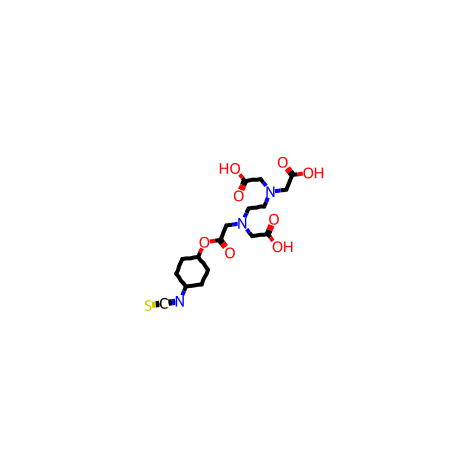 O=C(O)CN(CCN(CC(=O)O)CC(=O)OC1CCC(N=C=S)CC1)CC(=O)O